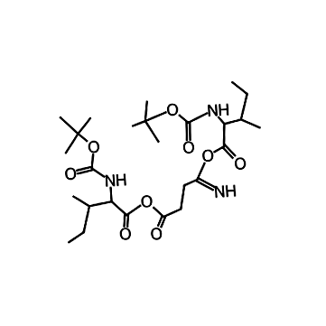 CCC(C)C(NC(=O)OC(C)(C)C)C(=O)OC(=N)CCC(=O)OC(=O)C(NC(=O)OC(C)(C)C)C(C)CC